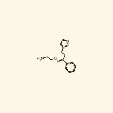 NCCON=C(CCn1ccnc1)c1ccccc1